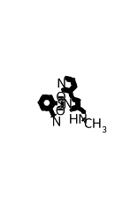 CNCc1cc(-c2cccnc2)n(S(=O)(=O)c2ccccc2C#N)c1